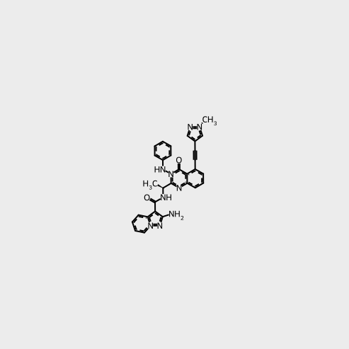 C[C@H](NC(=O)c1c(N)nn2ccccc12)c1nc2cccc(C#Cc3cnn(C)c3)c2c(=O)n1Nc1ccccc1